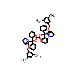 Cc1cc(C)cc(COC2C3CCN(C3)C2C(OC(=O)C(=O)OC(c2ccccc2)(c2ccccc2)C2C(OCc3cc(C)cc(C)c3)C3CCN2C3)(c2ccccc2)c2ccccc2)c1